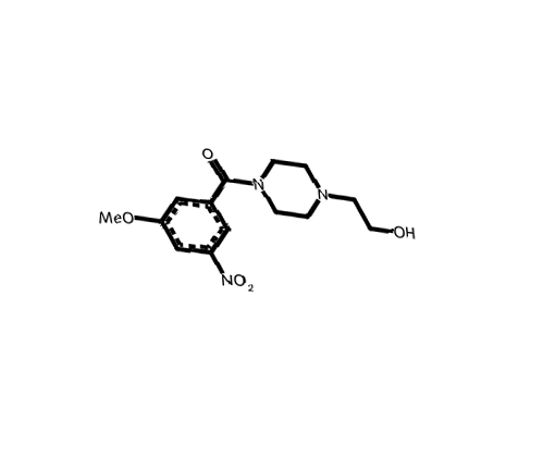 COc1cc(C(=O)N2CCN(CCO)CC2)cc([N+](=O)[O-])c1